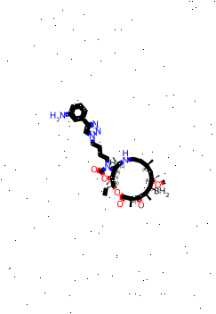 B[C@@H]1[C@@H](C)C(=O)[C@@H](C)C(=O)O[C@H](CC)[C@@]2(C)OC(=O)N(CCCCn3cc(-c4cccc(N)c4)nn3)[C@@H]2[C@H](C)NCC[C@@H](C)C[C@@]1(C)OC